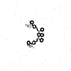 Cc1ccccc1C1(C)C=CC(C=CN(c2ccccc2)c2ccc(N(C=CC3=CCC(C)(c4ccccc4C)C=C3)c3ccccc3)c3ccccc23)=CC1